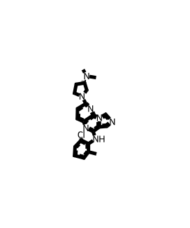 Cc1cccc(Cl)c1Nc1nc2ccc(N3CC[C@H](N(C)C)C3)nc2n2cncc12